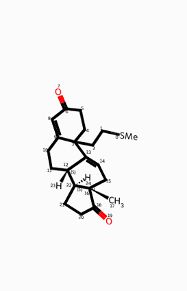 CSCCC12CCC(=O)C=C1CC[C@@H]1C2=CC[C@]2(C)C(=O)CC[C@@H]12